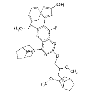 CCC1=CC=CC2(C=C(O)C=C2c2c(F)cc3c(N4CC5CCC(C4)N5)nc(OCC(CN4C5CCC4C(OC)C5)OC)nc3c2F)C1